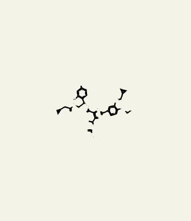 CC(OC(N)=O)c1oc(-c2ccc(OC(F)F)c(OCC3CC3)c2)nc1C(=O)NC(CNC(=O)CC1CC1)c1ccc(F)cc1F